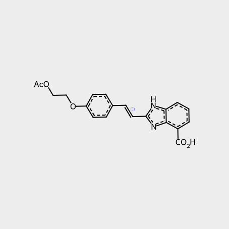 CC(=O)OCCOc1ccc(/C=C/c2nc3c(C(=O)O)cccc3[nH]2)cc1